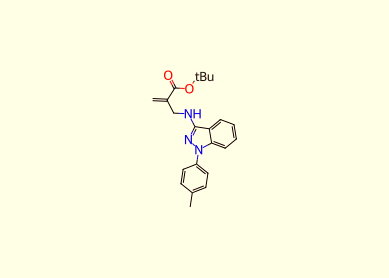 C=C(CNc1nn(-c2ccc(C)cc2)c2ccccc12)C(=O)OC(C)(C)C